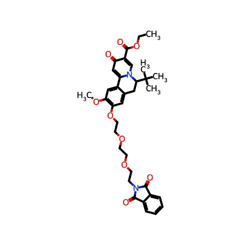 CCOC(=O)c1cn2c(cc1=O)-c1cc(OC)c(OCCOCCOCCN3C(=O)c4ccccc4C3=O)cc1CC2C(C)(C)C